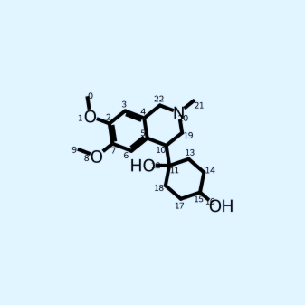 COc1cc2c(cc1OC)C(C1(O)CCC(O)CC1)CN(C)C2